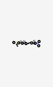 CC/C=C/S(C)(c1ccccc1)c1ccc(-c2ccc(-c3ccc(/C=C/c4ccc(-c5ccc(N(c6ccccc6)c6ccccc6)cc5[SiH](C)C)cc4)cc3[SiH3])cc2)cc1